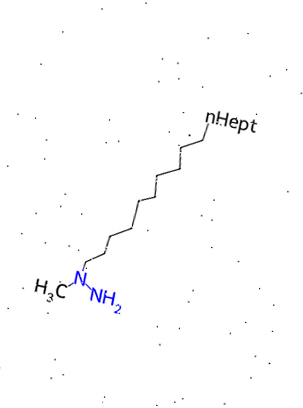 CCCCCCCCCCCCCCCCCN(C)N